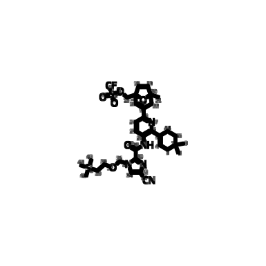 CC1(C)CC=C(c2nc(C3=CC4(COS(=O)(=O)C(F)(F)F)C=CC(C)(C3)O4)ccc2NC(=O)c2nc(C#N)cn2COCC[Si](C)(C)C)CC1